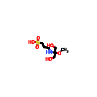 COC(CO)(CO)NCCCS(=O)(=O)O